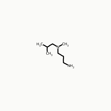 CC(C)CN(C)CCCN